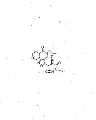 Cc1noc(C(CC(=O)O)NC(=O)OC(C)(C)C)c1-c1c(C(=O)C2CCOCC2)sc(C)c1C